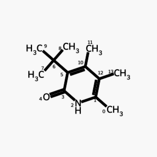 Cc1[nH]c(=O)c(C(C)(C)C)c(C)c1C